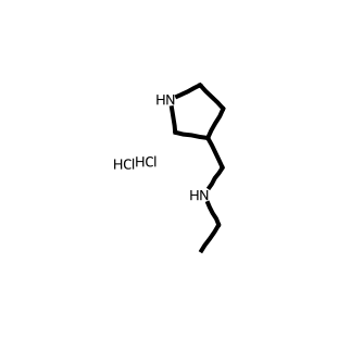 CCNCC1CCNC1.Cl.Cl